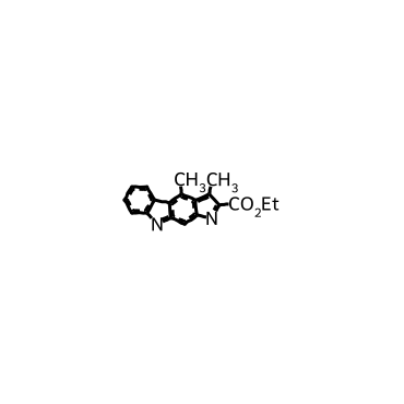 CCOC(=O)C1=Nc2cc3c(c(C)c2=C1C)-c1ccccc1N=3